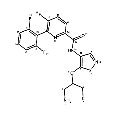 NCC(CCl)Oc1sncc1NC(=O)c1ccc(F)c(-c2c(F)cccc2F)n1